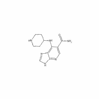 NC(=O)c1cnc2[nH]cnc2c1NC1CCNCC1